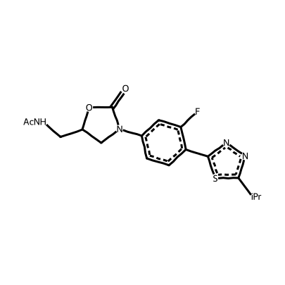 CC(=O)NCC1CN(c2ccc(-c3nnc(C(C)C)s3)c(F)c2)C(=O)O1